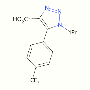 CC(C)n1nnc(C(=O)O)c1-c1ccc(C(F)(F)F)cc1